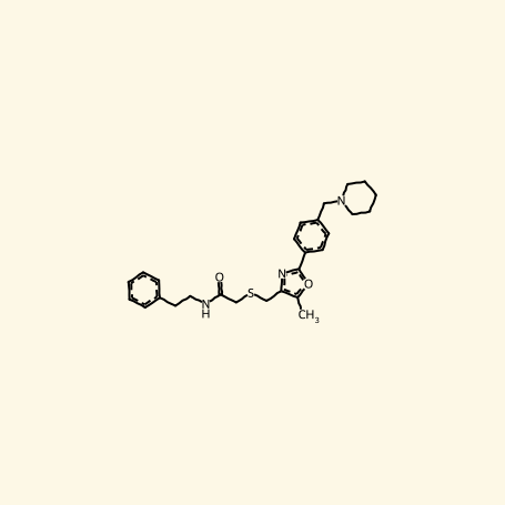 Cc1oc(-c2ccc(CN3CCCCC3)cc2)nc1CSCC(=O)NCCc1ccccc1